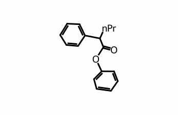 CCCC(C(=O)Oc1ccccc1)c1ccccc1